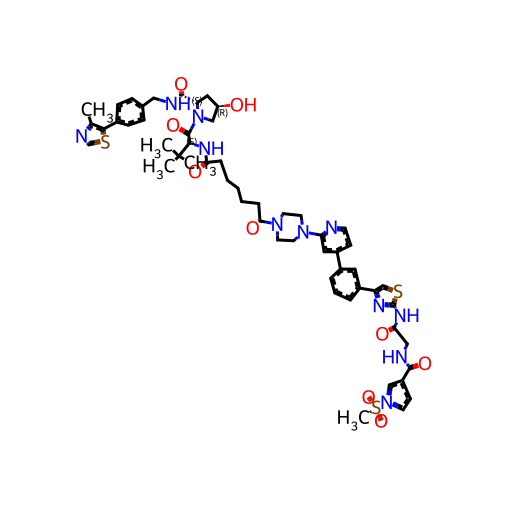 Cc1ncsc1-c1ccc(CNC(=O)[C@@H]2C[C@@H](O)CN2C(=O)[C@@H](NC(=O)CCCCCC(=O)N2CCN(c3cc(-c4cccc(-c5csc(NC(=O)CNC(=O)c6ccn(S(C)(=O)=O)c6)n5)c4)ccn3)CC2)C(C)(C)C)cc1